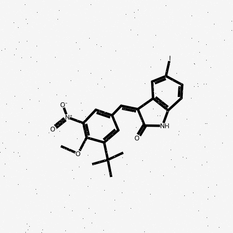 COc1c([N+](=O)[O-])cc(C=C2C(=O)Nc3ccc(I)cc32)cc1C(C)(C)C